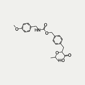 COc1ccc(CNC(=O)OCc2ccc(CC(OC(C)C)C(=O)O)cc2)cc1